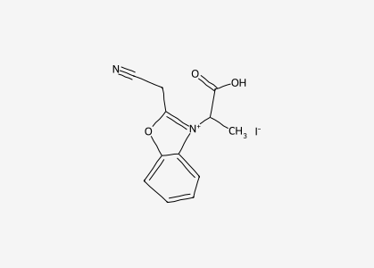 CC(C(=O)O)[n+]1c(CC#N)oc2ccccc21.[I-]